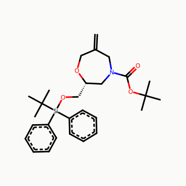 C=C1CO[C@@H](CO[Si](c2ccccc2)(c2ccccc2)C(C)(C)C)CN(C(=O)OC(C)(C)C)C1